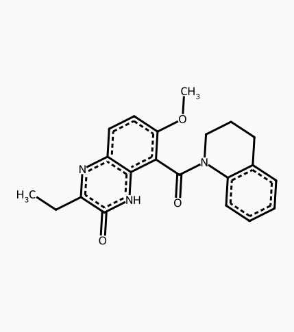 CCc1nc2ccc(OC)c(C(=O)N3CCCc4ccccc43)c2[nH]c1=O